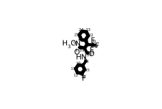 Cn1c(=O)c(C(=O)NCc2cccc(F)c2)c(C(F)(F)F)c2ccccc21